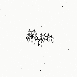 CCn1nccc1C(=O)N[C@H](C(=O)Nc1ccc([C@H](C)[C@@H](N)C(=O)N2C[C@@H](C)N(C)[C@@H](C)C2)cc1F)C(C1CC1)C1CC1